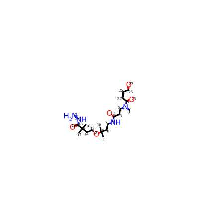 CN(CCC(=O)NCCC(C)(C)OCCC(C)(C)C(=O)NN)C(=O)/C=C\C=O